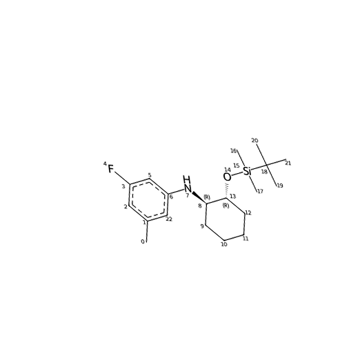 Cc1cc(F)cc(N[C@@H]2CCCC[C@H]2O[Si](C)(C)C(C)(C)C)c1